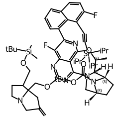 C=C1CN2CCC(CO[Si](C)(C)C(C)(C)C)C2(COc2nc3c4c(nc(-c5cccc6ccc(F)c(C#C[Si](C(C)C)(C(C)C)C(C)C)c56)c(F)c4n2)O[C@@H](C)[C@@H]2[C@@H]4CC[C@H](CN32)N4C(=O)OC(C)(C)C)C1